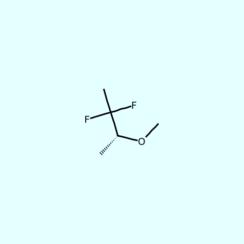 CO[C@H](C)C(C)(F)F